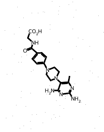 Cc1nc(N)nc(N)c1N1CCN(c2ccc(C(=O)NCC(=O)O)cc2)CC1